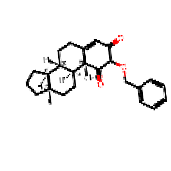 C[C@@]12CCC[C@H]1[C@@H]1CCC3=CC(=O)C(OCc4ccccc4)C(=O)[C@]3(C=O)[C@H]1CC2